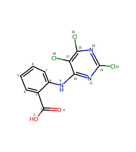 O=C(O)c1ccccc1Nc1nc(Cl)nc(Cl)c1Cl